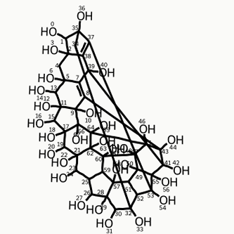 OC1C2(O)CC3(O)C4=C5C6(O)C(O)(C3O)C(O)C3(O)C(O)C7(O)C(O)C8C(O)C9(O)C(O)C%10(O)CC1(O)C1=C2C4(O)C2(O)C5(O)C4(O)C5(O)C%11(O)C(C%10C1(O)C%112O)C9(O)C8C5(O)C7(O)C4(O)C36O